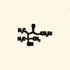 CCOC(=O)CC(=O)C(C)C(C)(C)O